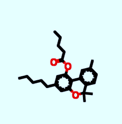 CCCCCc1cc(OC(=O)CCCC)c2c(c1)OC(C)(C)c1ccc(C)cc1-2